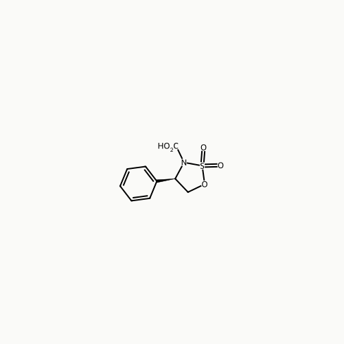 O=C(O)N1[C@H](c2ccccc2)COS1(=O)=O